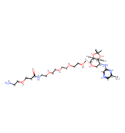 CC1(C)O[C@@H]2[C@H](O1)[C@@H](Nc1cncc(C(F)(F)F)n1)CO[C@@H]2COCCOCCOCCOCCNC(=O)CCOCCN